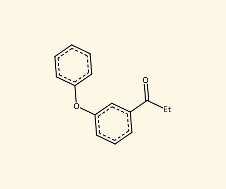 CCC(=O)c1cccc(Oc2ccccc2)c1